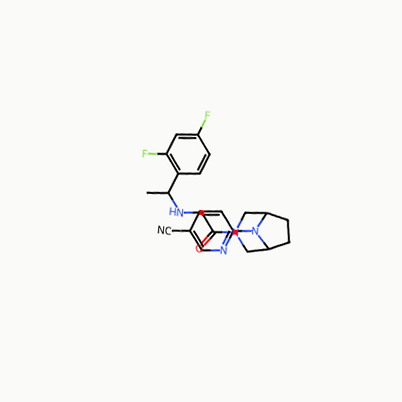 CC(NCC(=O)N1CC2CCC(C1)N2c1ccc(C#N)cn1)c1ccc(F)cc1F